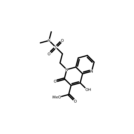 COC(=O)c1c(O)c2ncccc2n(CCS(=O)(=O)N(C)C)c1=O